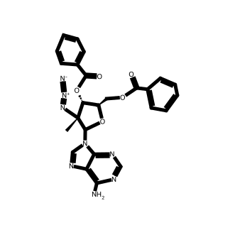 C[C@]1(N=[N+]=[N-])C(n2cnc3c(N)ncnc32)O[C@H](COC(=O)c2ccccc2)[C@H]1OC(=O)c1ccccc1